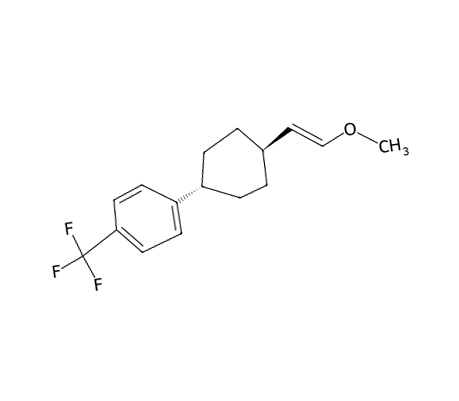 CO/C=C/[C@H]1CC[C@H](c2ccc(C(F)(F)F)cc2)CC1